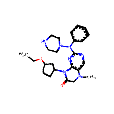 CCOC1CCC(N2C(=O)CN(C)c3cnc(N(c4ccccc4)N4CCNCC4)nc32)C1